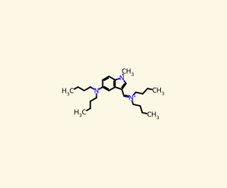 CCCCN(CCCC)c1ccc2c(c1)c(C=[N+](CCCC)CCCC)cn2C